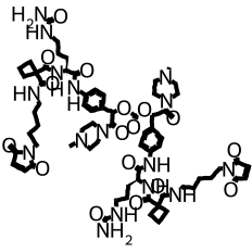 CN1CCN(C(=O)C(OC(=O)OC(C(=O)N2CCN(C)CC2)c2ccc(NC(=O)[C@H](CCCNC(N)=O)NC(=O)C3(C(=O)NCCCCCN4C(=O)C=CC4=O)CCC3)cc2)c2ccc(NC(=O)[C@H](CCCNC(N)=O)NC(=O)C3(C(=O)NCCCCCN4C(=O)C=CC4=O)CCC3)cc2)CC1